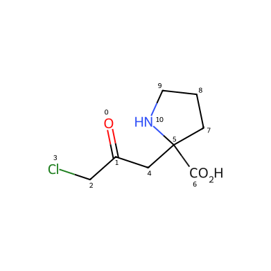 O=C(CCl)CC1(C(=O)O)CCCN1